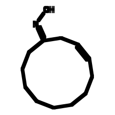 ON=C1CC=CCCCCCCCC1